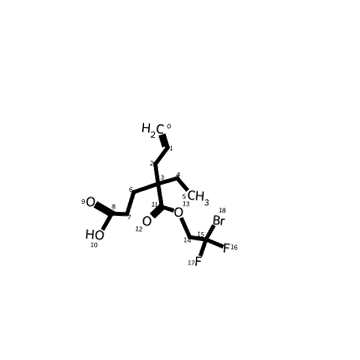 C=CCC(CC)(CCC(=O)O)C(=O)OCC(F)(F)Br